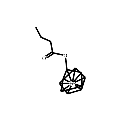 CCCC(=O)O[C]12[CH]3[CH]4[CH]5[CH]1[Fe]45321678[CH]2[CH]1[CH]6[CH]7[CH]28